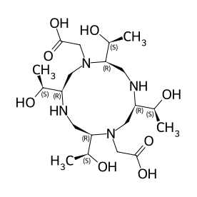 C[C@H](O)[C@H]1CN[C@@H]([C@H](C)O)CN(CC(=O)O)[C@@H]([C@H](C)O)CN[C@@H]([C@H](C)O)CN1CC(=O)O